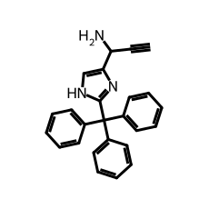 C#CC(N)c1c[nH]c(C(c2ccccc2)(c2ccccc2)c2ccccc2)n1